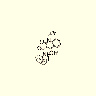 CC(C)Cn1c(=O)c(C(=O)NC23CC4CC(C2)N(C)C(C4)C3)c(O)c2ccccc21